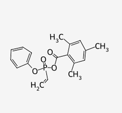 C=CP(=O)(OC(=O)c1c(C)cc(C)cc1C)Oc1ccccc1